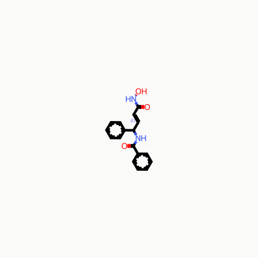 O=C(/C=C/C(NC(=O)c1ccccc1)c1ccccc1)NO